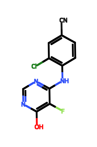 N#Cc1ccc(Nc2ncnc(O)c2F)c(Cl)c1